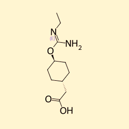 CC/N=C(\N)O[C@H]1CC[C@H](CC(=O)O)CC1